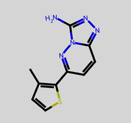 Cc1ccsc1-c1ccc2nnc(N)n2n1